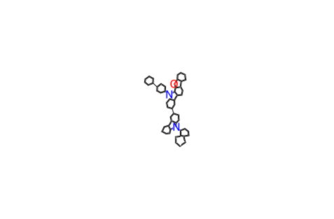 c1ccc(-c2ccc(-n3c4ccc(-c5ccc6c(c5)c5ccccc5n6-c5cccc6ccccc56)cc4c4ccc5c6ccccc6oc5c43)cc2)cc1